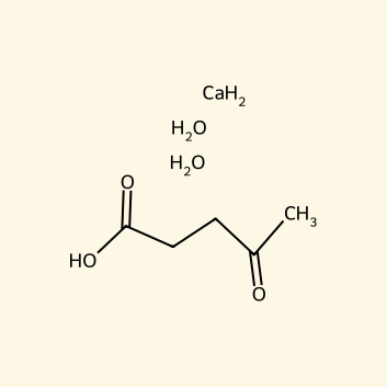 CC(=O)CCC(=O)O.O.O.[CaH2]